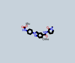 COc1cc2nn(C3CCC(NC(=O)OC(C)(C)C)CC3)cc2cc1C(=O)Nc1cccn(C)c1=O